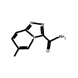 Cc1ccc2nnc(C(N)=O)n2c1